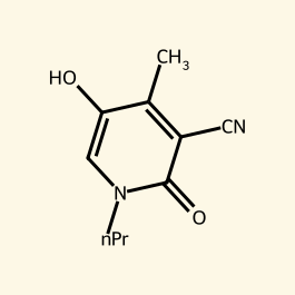 CCCn1cc(O)c(C)c(C#N)c1=O